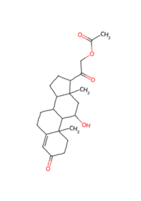 CC(=O)OCC(=O)C1CCC2C3CCC4=CC(=O)CCC4(C)C3C(O)CC12C